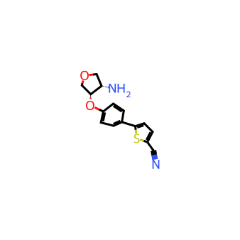 N#Cc1ccc(-c2ccc(O[C@@H]3COC[C@@H]3N)cc2)s1